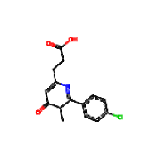 CC1C(=O)C=C(CCC(=O)O)N=C1c1ccc(Cl)cc1